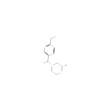 CCc1ccc(C(C)N2CCO[C@H](C)C2)cn1